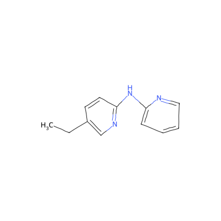 CCc1ccc(Nc2ccccn2)nc1